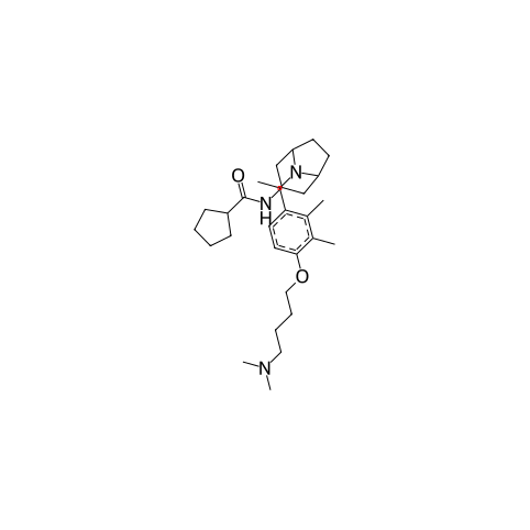 Cc1c(OCCCCN(C)C)ccc(C(C)N2C3CCC2CC(NC(=O)C2CCCC2)C3)c1C